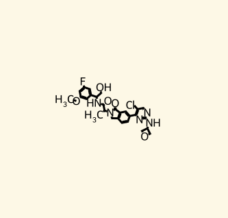 COc1cc(F)cc(C(CO)NC(=O)C(C)N2Cc3ccc(-c4nc(NC5COC5)ncc4Cl)cc3C2=O)c1